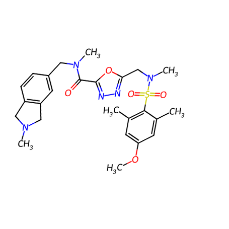 COc1cc(C)c(S(=O)(=O)N(C)Cc2nnc(C(=O)N(C)Cc3ccc4c(c3)CN(C)C4)o2)c(C)c1